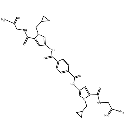 N=C(N)CNC(=O)c1cc(NC(=O)c2ccc(C(=O)Nc3cc(C(=O)NCC(=N)N)n(CC4CC4)c3)cc2)cn1CC1CC1